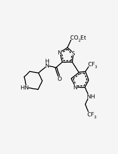 CCOC(=O)c1nc(C(=O)NC2CCNCC2)c(-c2cnc(NCC(F)(F)F)cc2C(F)(F)F)s1